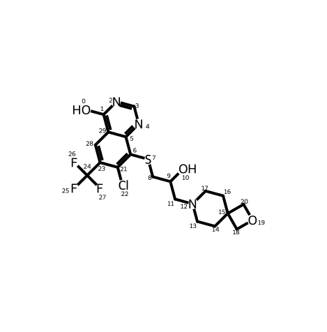 Oc1ncnc2c(SCC(O)CN3CCC4(CC3)COC4)c(Cl)c(C(F)(F)F)cc12